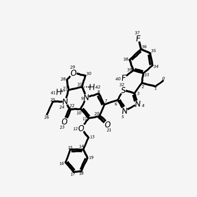 CCC(c1nnc(-c2cn3c(c(OCc4ccccc4)c2=O)C(=O)N(CC)[C@H]2COC[C@H]23)s1)c1ccc(F)cc1F